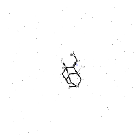 O/N=C1/[C@@H]2CC3C[C@H]1CN(C3)C2